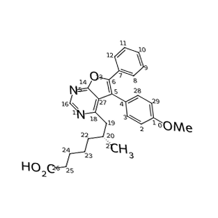 COc1ccc(-c2c(-c3ccccc3)oc3ncnc(C[C@H](C)CCCCC(=O)O)c23)cc1